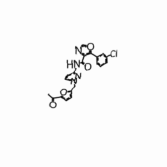 CC(=O)c1ccc(Cn2ccc(NC(=O)c3ncoc3-c3cccc(Cl)c3)n2)o1